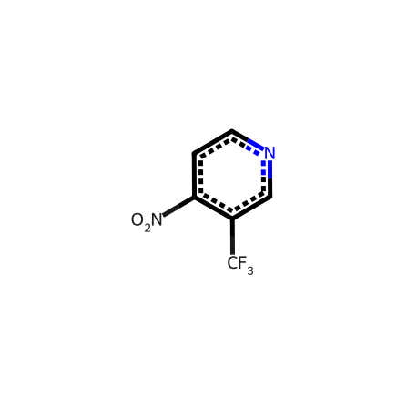 O=[N+]([O-])c1ccncc1C(F)(F)F